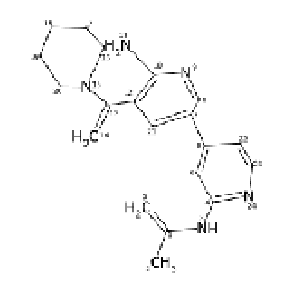 C=C(C)Nc1cc(-c2cnc(N)c(C(=C)N3CCCCC3)c2)ccn1